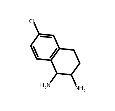 NC1CCc2cc(Cl)ccc2C1N